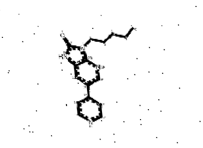 CCCCCn1c(=O)[nH]c2cc(-c3ccncc3)cnc21